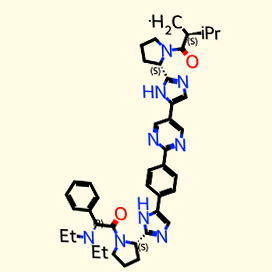 [CH2][C@H](C(=O)N1CCC[C@H]1c1ncc(-c2cnc(-c3ccc(-c4cnc([C@@H]5CCCN5C(=O)[C@@H](c5ccccc5)N(CC)CC)[nH]4)cc3)nc2)[nH]1)C(C)C